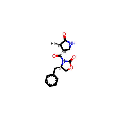 CC[C@H]1C(=O)NC[C@@H]1C(=O)N1C(=O)OC[C@H]1Cc1ccccc1